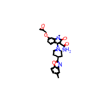 Cc1ccc2oc(C3CCN(c4c(C(N)=O)c(=O)n(C)c5cc(OCC6CO6)ccc45)CC3)nc2c1